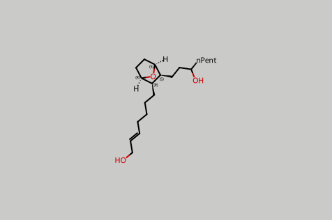 CCCCCC(O)CC[C@H]1[C@@H](CCCCC=CCO)[C@H]2CC[C@@H]1O2